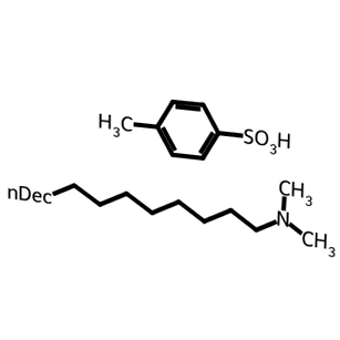 CCCCCCCCCCCCCCCCCCN(C)C.Cc1ccc(S(=O)(=O)O)cc1